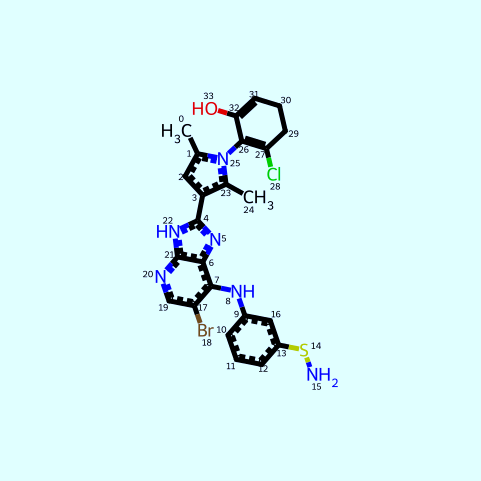 Cc1cc(-c2nc3c(Nc4cccc(SN)c4)c(Br)cnc3[nH]2)c(C)n1C1=C(Cl)CCC=C1O